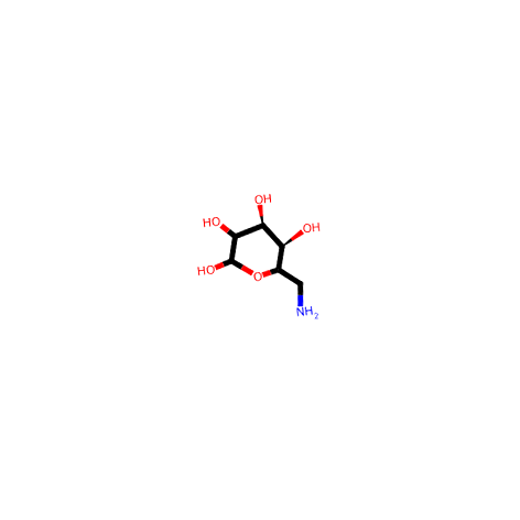 NCC1OC(O)C(O)[C@@H](O)[C@H]1O